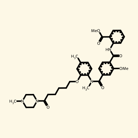 COC(=O)c1ccccc1NC(=O)c1ccc(C(=O)N(C)c2ccc(C)cc2OCCCCCC(=O)N2CCN(C)CC2)cc1OC